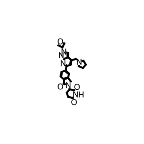 O=C1CCC(N2Cc3cc(-c4cc(CN5CCCC5)c5cn(C6COC6)nc5n4)ccc3C2=O)C(=O)N1